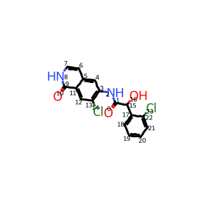 O=C(Nc1cc2cc[nH]c(=O)c2cc1Cl)C(O)c1ccccc1Cl